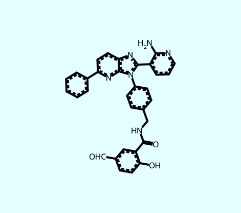 Nc1ncccc1-c1nc2ccc(-c3ccccc3)nc2n1-c1ccc(CNC(=O)c2cc(C=O)ccc2O)cc1